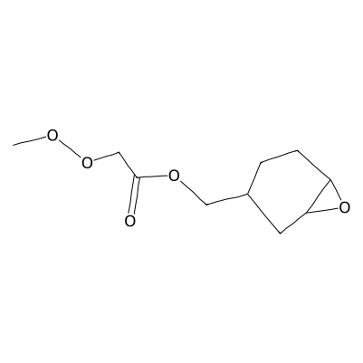 COOCC(=O)OCC1CCC2OC2C1